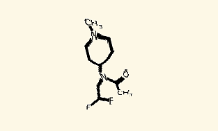 CC(=O)N(CC(F)F)C1CCN(C)CC1